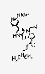 CNc1cc(-c2c[nH]c(=O)c(N(CC3CC3)[C@@H]3CCN(C(=O)/C=C/CN(C)C)C3)c2)ccn1